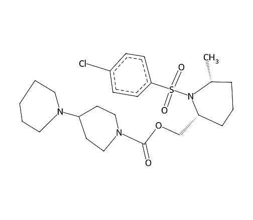 C[C@@H]1CCC[C@H](COC(=O)N2CCC(N3CCCCC3)CC2)N1S(=O)(=O)c1ccc(Cl)cc1